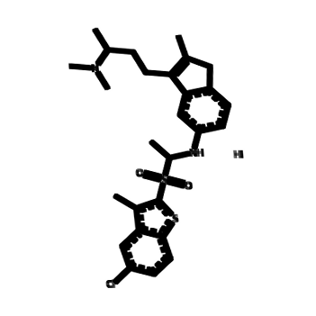 CC1=C(CCC(C)N(C)C)c2cc(NC(C)S(=O)(=O)c3sc4ccc(Cl)cc4c3C)ccc2C1.I